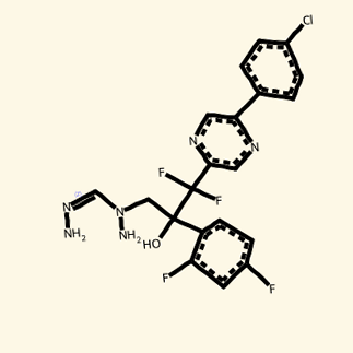 N/N=C\N(N)CC(O)(c1ccc(F)cc1F)C(F)(F)c1cnc(-c2ccc(Cl)cc2)cn1